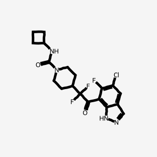 O=C(NC1CCC1)N1CCC(C(F)(F)C(=O)c2c(F)c(Cl)cc3cn[nH]c23)CC1